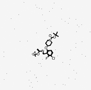 C=C(/N=C/c1c(OC2CCN(C(=O)OC(C)(C)C)CC2)ccc(Cl)c1F)O[Si](C)(C)C